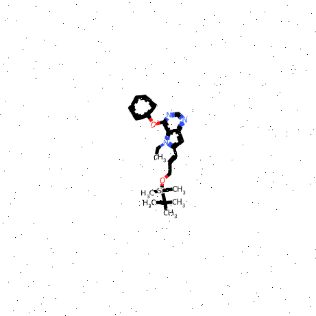 CCn1c(C=CCO[Si](C)(C)C(C)(C)C)cc2ncnc(Oc3ccccc3)c21